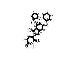 CO[C@H]1CCC[C@@H]1C[C@@H]1CCCC[C@H]1Oc1ccc2c(c1)CN(C1CCC(=O)NC1=O)C2=O